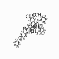 COc1cc(C(=O)N2Cc3ccccc3C[C@H]2CN2CCOCC2)c(-c2cc(C(=O)Nc3ccc(OCc4ccccc4)cc3)c(C)n2C)cc1Cl